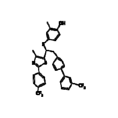 Cc1cc(SC(Cc2ccc(-c3cccc(C(F)(F)F)c3)cc2)c2sc(-c3ccc(C(F)(F)F)cc3)nc2C)ccc1O